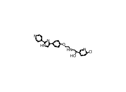 O[C@@H](CNCCOc1ccc(-c2c[nH]c(-c3ccncc3)n2)cc1)c1ccc(Cl)nc1